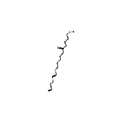 C=CCC/C=C/CCCCCCC(=O)CCCCO